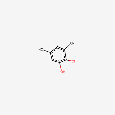 N#Cc1[c]c(C#N)c(O)c(O)c1